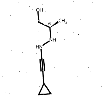 C[C@H](CO)NNC#CC1CC1